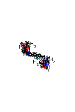 C=C1[C@@H](c2nc(-c3ccc4c(c3)C(F)(F)c3cc(-c5ccc6nc([C@@H]7[C@H]8CC[C@H](C8)N7C(=O)[C@H](CCS(C)(=O)=O)NC(=O)OC)[nH]c6c5)ccc3-4)c[nH]2)N(C(=O)[C@@H](NC(O)OC)C(C)C)CC12CC2